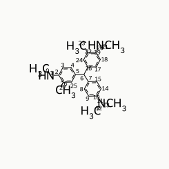 CNc1ccc(C(c2ccc(N(C)C)cc2)c2ccc(NC)c(C)c2)cc1C